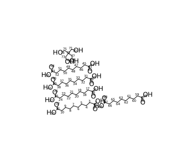 O=C(O)CCCCCCCCC(=O)O.O=C(O)CCCCCCCCC(=O)O.O=C(O)CCCCCCCCC(=O)O.O=C(O)CCCCCCCCC(=O)O.O=C(O)CCCCCCCCC(=O)O.OCC(CO)(CO)CO